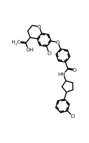 C=C(O)C1CCOc2cc(Oc3ccc(C(=O)NC4CCC(c5cccc(Cl)c5)C4)cc3)c(Cl)cc21